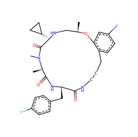 C[C@@H]1CN[C@@H](C2CC2)C(=O)N(C)[C@H](C)C(=O)N[C@H](Cc2ccc(F)cc2)C(=O)NCCCc2ccc(I)cc2O1